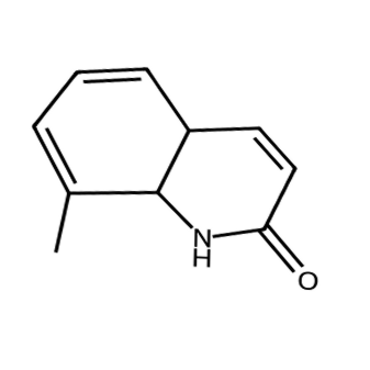 CC1=CC=CC2C=CC(=O)NC12